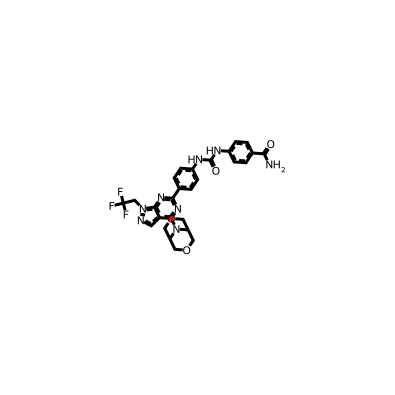 NC(=O)c1ccc(NC(=O)Nc2ccc(-c3nc(N4C5COCC4COC5)c4cnn(CC(F)(F)F)c4n3)cc2)cc1